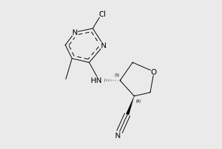 Cc1cnc(Cl)nc1N[C@@H]1COC[C@H]1C#N